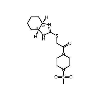 CS(=O)(=O)N1CCN(C(=O)CSC2=N[C@H]3CCCC[C@H]3N2)CC1